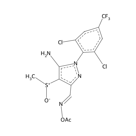 CC(=O)ON=Cc1nn(-c2c(Cl)cc(C(F)(F)F)cc2Cl)c(N)c1[S+](C)[O-]